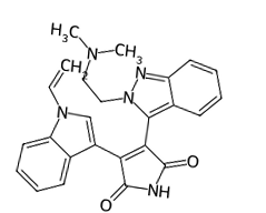 C=Cn1cc(C2=C(c3c4ccccc4nn3CCN(C)C)C(=O)NC2=O)c2ccccc21